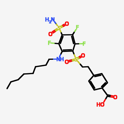 CCCCCCCCNc1c(F)c(S(N)(=O)=O)c(F)c(F)c1S(=O)(=O)CCc1ccc(C(=O)O)cc1